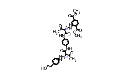 COC(=O)c1ccc(C(=O)OC)c(N/N=C(/C(C)=O)C(=O)Nc2ccc(NC(=O)/C(=N\Nc3ccc(CCO)cc3)C(C)=O)cc2)c1